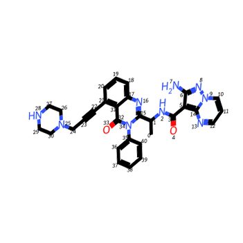 CC(NC(=O)c1c(N)nn2cccnc12)c1nc2cccc(C#CCN3CCNCC3)c2c(=O)n1-c1ccccc1